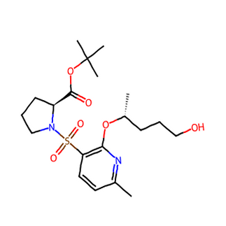 Cc1ccc(S(=O)(=O)N2CCC[C@H]2C(=O)OC(C)(C)C)c(O[C@H](C)CCCO)n1